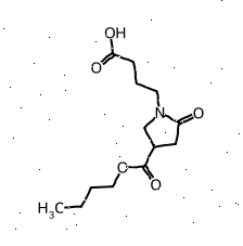 CCCCOC(=O)C1CC(=O)N(CCCC(=O)O)C1